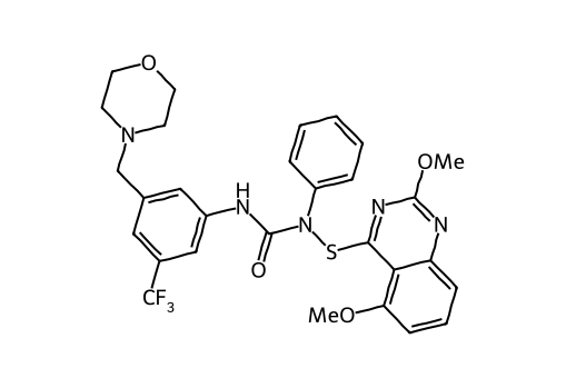 COc1nc(SN(C(=O)Nc2cc(CN3CCOCC3)cc(C(F)(F)F)c2)c2ccccc2)c2c(OC)cccc2n1